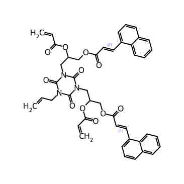 C=CCn1c(=O)n(CC(COC(=O)/C=C/c2cccc3ccccc23)OC(=O)C=C)c(=O)n(CC(COC(=O)/C=C/c2cccc3ccccc23)OC(=O)C=C)c1=O